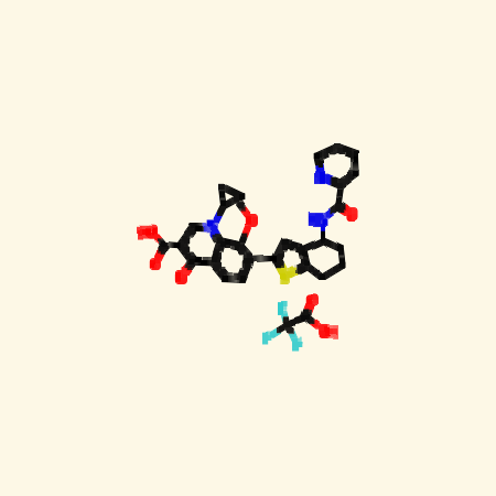 COc1c(-c2cc3c(s2)CCCC3NC(=O)c2ccccn2)ccc2c(=O)c(C(=O)O)cn(C3CC3)c12.O=C(O)C(F)(F)F